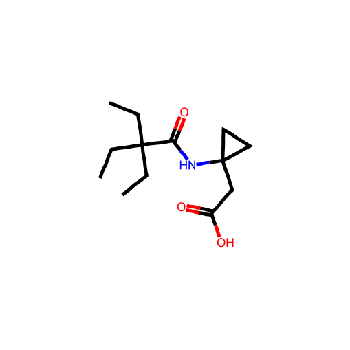 CCC(CC)(CC)C(=O)NC1(CC(=O)O)CC1